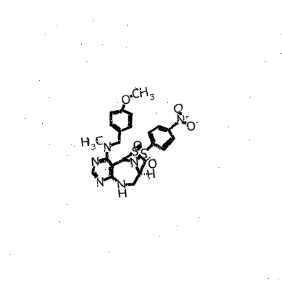 COc1ccc(CN(C)c2ncnc3c2C2SC[C@@H](CN3)N2S(=O)(=O)c2ccc([N+](=O)[O-])cc2)cc1